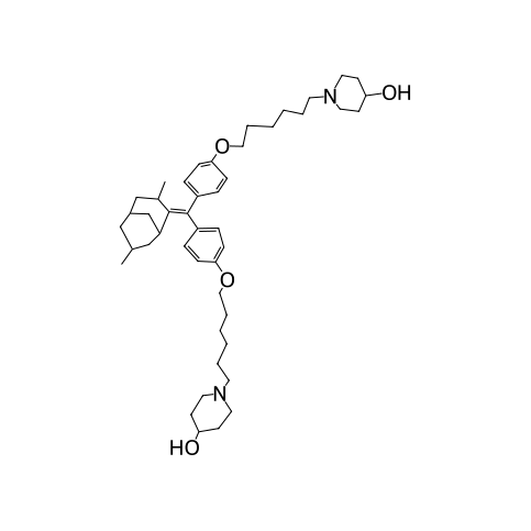 CC1CC2CC(C)C(=C(c3ccc(OCCCCCCN4CCC(O)CC4)cc3)c3ccc(OCCCCCCN4CCC(O)CC4)cc3)C(C1)C2